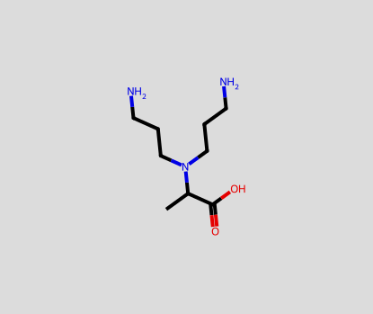 CC(C(=O)O)N(CCCN)CCCN